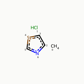 C.Cl.c1cscn1